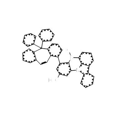 CB1c2c(-c3cccc4c3C=Cc3ccccc3C4(c3ccccc3)c3ccccc3)cc(C)cc2-n2c3ccccc3c3cccc1c32